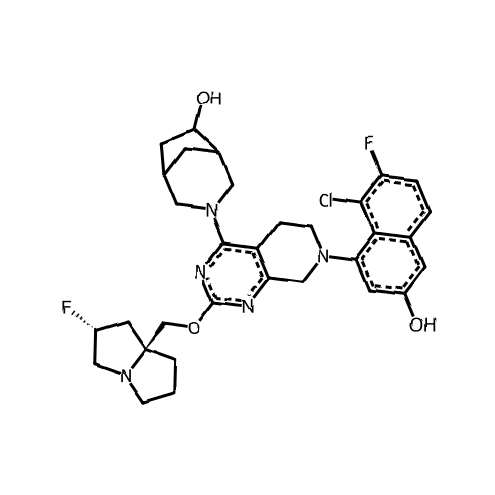 Oc1cc(N2CCc3c(nc(OC[C@@]45CCCN4C[C@H](F)C5)nc3N3CC4CC(O)C(C4)C3)C2)c2c(Cl)c(F)ccc2c1